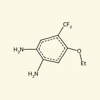 CCOc1cc(N)c(N)cc1C(F)(F)F